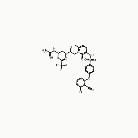 Cc1ccc(NS(=O)(=O)c2ccc(Oc3cccc(Cl)c3C#N)cc2)c(=O)n1CC(=O)NCC(NC(=N)N)OC(=O)C(F)(F)F